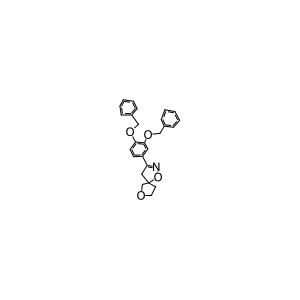 c1ccc(COc2ccc(C3=NOC4(CCOC4)C3)cc2OCc2ccccc2)cc1